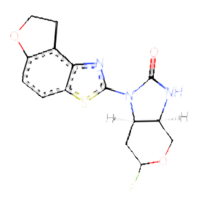 O=C1N[C@H]2COC(F)C[C@H]2N1c1nc2c3c(ccc2s1)OCC3